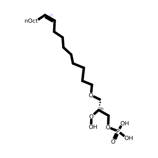 CCCCCCCC/C=C\CCCCCCCCOC[C@H](COP(=O)(O)O)OO